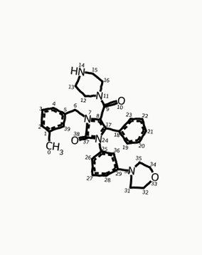 Cc1cccc(Cn2c(C(=O)N3CCNCC3)c(-c3ccccc3)n(-c3cccc(N4CCOCC4)c3)c2=O)c1